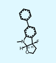 CN1c2cc(-c3ccccc3)ccc2[C@]2(F)CCO[C@H]12